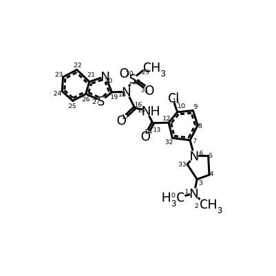 CN(C)C1CCN(c2ccc(Cl)c(C(=O)NC(=O)N(c3nc4ccccc4s3)S(C)(=O)=O)c2)C1